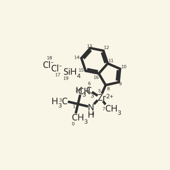 CC(C)(C)[NH][Zr+2]([CH3])([CH3])[CH]1C=Cc2ccccc21.[Cl-].[Cl-].[SiH4]